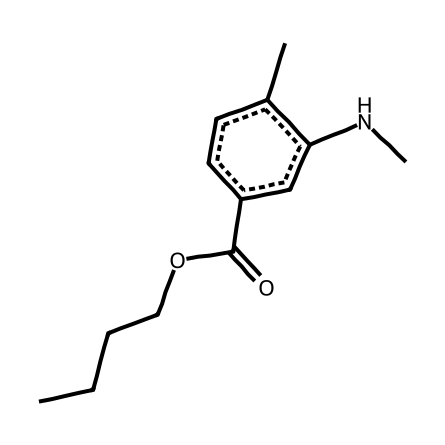 CCCCOC(=O)c1ccc(C)c(NC)c1